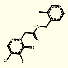 Cc1cnccc1CNC(=O)Cn1ncc(Cl)c(Cl)c1=O